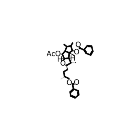 CC(=O)O[C@H]1C2C(C)C(C)[C@@H](OC(=O)c3ccccc3)[C@]2(C)[C@H]2[C@H](C)[C@@H](CC[C@@H](C)COC(=O)c3ccccc3)O[C@H]21